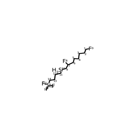 FCCCCCCC(F)C[SiH2]CCCC[Si](F)(F)F